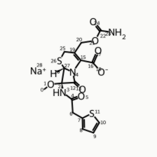 CO[C@@]1(NC(=O)Cc2cccs2)C(=O)N2C(C(=O)[O-])=C(COC(N)=O)CS[C@H]21.[Na+]